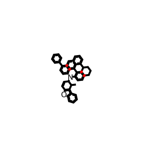 CC1c2c(oc3ccccc23)C=CC1N(c1ccc(-c2ccccc2)cc1)c1ccccc1-c1cccc2cccc(C3CCCCC3)c12